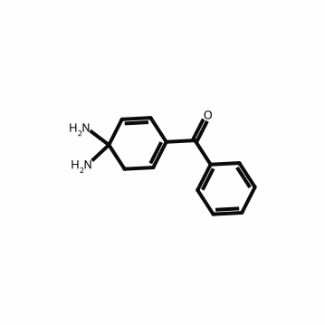 NC1(N)C=CC(C(=O)c2ccccc2)=CC1